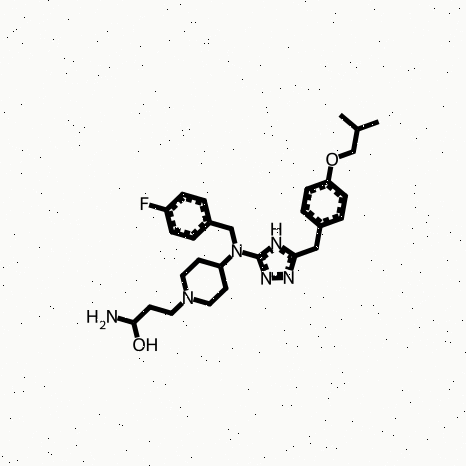 CC(C)COc1ccc(Cc2nnc(N(Cc3ccc(F)cc3)C3CCN(CCC(N)O)CC3)[nH]2)cc1